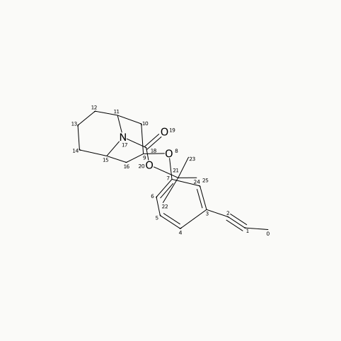 CC#Cc1cccc(OC2CC3CCCC(C2)N3C(=O)OC(C)(C)C)c1